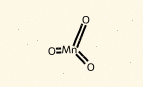 [O]=[Mn](=[O])=[O]